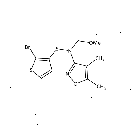 COCN(Sc1ccsc1Br)c1noc(C)c1C